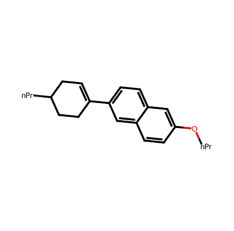 CCCOc1ccc2cc(C3=CCC(CCC)CC3)ccc2c1